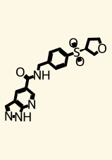 O=C(NCc1ccc(S(=O)(=O)[C@H]2CCOC2)cc1)c1cnc2[nH]ncc2c1